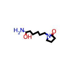 N[C@@H](O)CCCCCN1CCCC1=O